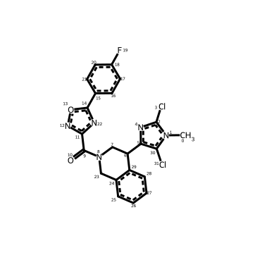 Cn1c(Cl)nc(C2CN(C(=O)c3noc(-c4ccc(F)cc4)n3)Cc3ccccc32)c1Cl